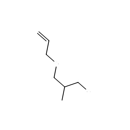 C=CCOCC(C)C[O]